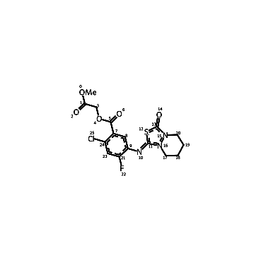 COC(=O)COC(=O)c1cc(N=c2sc(=O)n3n2CCCC3)c(F)cc1Cl